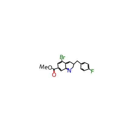 COC(=O)c1cc(Br)c2c(c1)=NCC(Cc1ccc(F)cc1)C=2